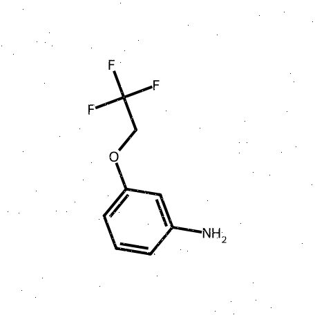 Nc1[c]ccc(OCC(F)(F)F)c1